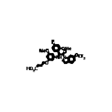 COc1cc(NC(C(=O)N2CCc3ccc(OC(F)(F)F)cc32)c2ccc(F)cc2OC)cc(OCCCC(=O)O)c1